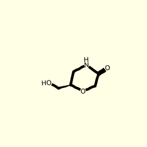 O=C1CO[C@@H](CO)CN1